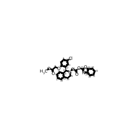 COC(=O)COc1ccc(Cl)cc1[C@@H]1c2ccccc2CCN1OC(=O)Oc1nc2ccccc2o1